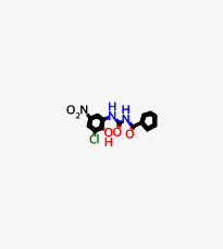 O=C(NC(=O)c1ccccc1)Nc1cc([N+](=O)[O-])cc(Cl)c1O